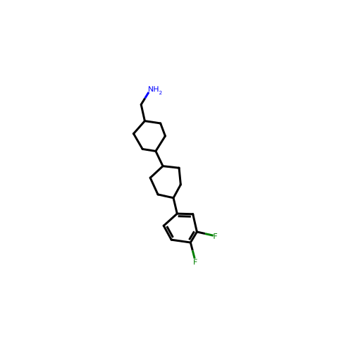 NCC1CCC(C2CCC(c3ccc(F)c(F)c3)CC2)CC1